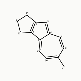 Cc1ccc2cc3c(c-2cc1)CCC3